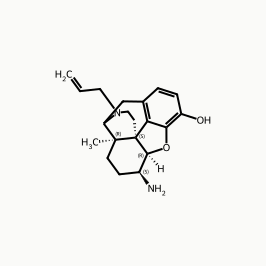 C=CCN1CC[C@]23c4c5ccc(O)c4O[C@H]2[C@@H](N)CC[C@@]3(C)C1C5